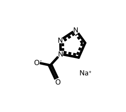 O=C([O-])n1ccnn1.[Na+]